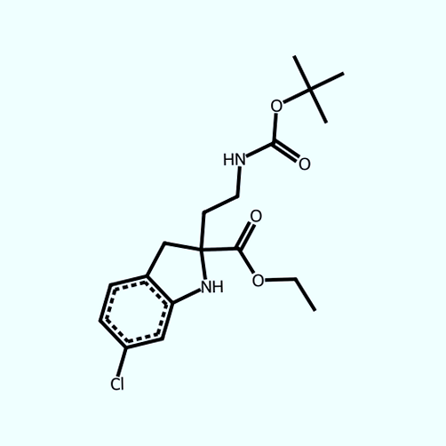 CCOC(=O)C1(CCNC(=O)OC(C)(C)C)Cc2ccc(Cl)cc2N1